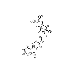 COc1cc2c(cc1OC)CN(CCCN1CCN(c3ccccc3OC)CC1)C(=O)C2